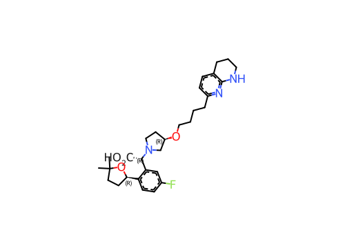 CC1(C)CC[C@H](c2ccc(F)cc2[C@H](C(=O)O)N2CC[C@@H](OCCCCc3ccc4c(n3)NCCC4)C2)O1